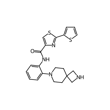 O=C(Nc1ccccc1N1CCC2(CC1)CNC2)c1csc(-c2cccs2)n1